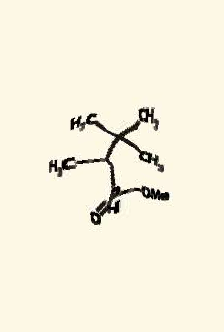 CO[PH](=O)C(C)C(C)(C)C